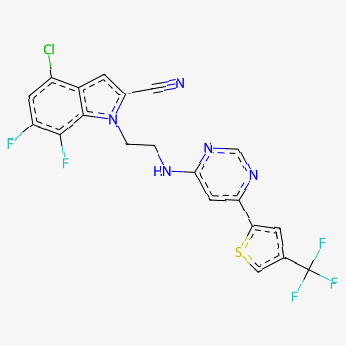 N#Cc1cc2c(Cl)cc(F)c(F)c2n1CCNc1cc(-c2cc(C(F)(F)F)cs2)ncn1